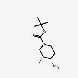 C[C@@H]1CN(C(=O)OC(C)(C)C)CC[C@@H]1N